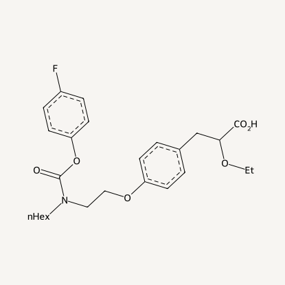 CCCCCCN(CCOc1ccc(CC(OCC)C(=O)O)cc1)C(=O)Oc1ccc(F)cc1